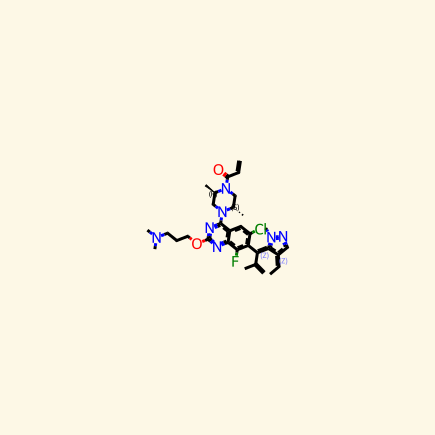 C=CC(=O)N1C[C@H](C)N(c2nc(OCCCN(C)C)nc3c(F)c(/C(C(=C)C)=c4/c(=C\C)cnn4C)c(Cl)cc23)C[C@H]1C